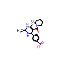 C=C1NC(C)=C(C(=O)N2CCCCC2)C(c2ccc([N+](=O)[O-])cc2)N1